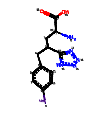 N[C@@H](CC(Cc1ccc([125I])cc1)c1nnn[nH]1)C(=O)O